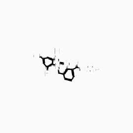 COC(=O)c1cccc(Cn2c(=O)[nH]c3cc(Cl)cc(F)c32)c1